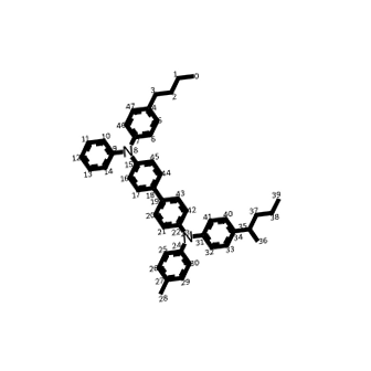 CCCCc1ccc(N(c2ccccc2)c2ccc(-c3ccc(N(c4ccc(C)cc4)c4ccc(C(C)CCC)cc4)cc3)cc2)cc1